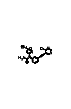 CC(C)(C)c1cc(N(C(N)=O)c2cccc(C#Cc3cncnc3Cl)c2)no1